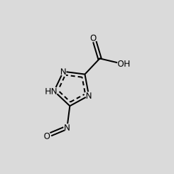 O=Nc1nc(C(=O)O)n[nH]1